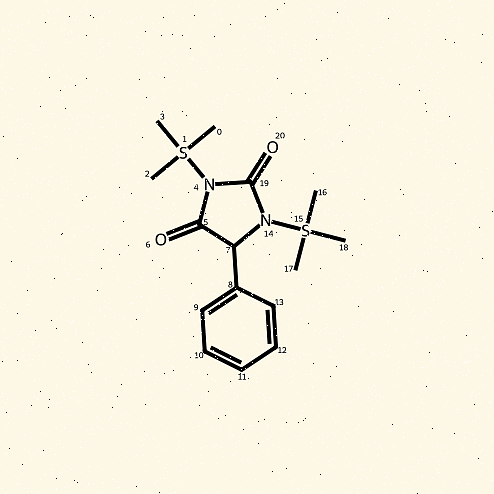 CS(C)(C)N1C(=O)C(c2ccccc2)N(S(C)(C)C)C1=O